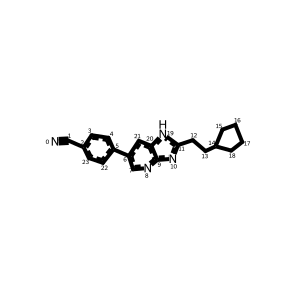 N#Cc1ccc(-c2cnc3nc(CCC4CCCC4)[nH]c3c2)cc1